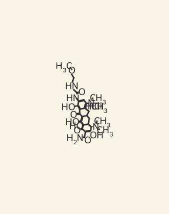 COCCCNCC(=O)Nc1cc(N(C)C)c2c(c1O)C(=O)C1=C(O)[C@]3(O)C(=O)C(C(N)=O)=C(O)[C@@H](N(C)C)C3CC1C2.Cl.Cl